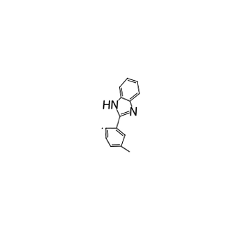 Cc1cc[c]c(-c2nc3ccccc3[nH]2)c1